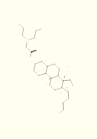 C[C@H](CCC(=O)O)[C@H]1CC[C@H]2[C@@H]3[C@@H](O)CC4C[C@@H](OC(=O)CN(CCCl)CCCl)CC[C@]4(C)[C@H]3CC[C@]12C